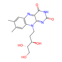 Cc1cc2nc3c(=O)[nH]c(=O)nc-3n(CC[C@@H](O)[C@@H](O)CO)c2cc1C